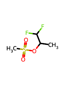 CC(OS(C)(=O)=O)C(F)F